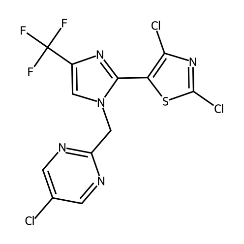 FC(F)(F)c1cn(Cc2ncc(Cl)cn2)c(-c2sc(Cl)nc2Cl)n1